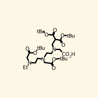 CCN(CCN(CCN(CC(=O)O)CC(C(=O)OC(C)(C)C)C(=O)OC(C)(C)C)CC(=O)OC(C)(C)C)CC(=O)OC(C)(C)C